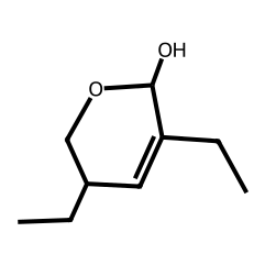 CCC1=CC(CC)COC1O